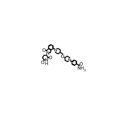 NC(=O)c1ccc(N2CCC(OCC3CCN(c4cccc5c4CN(C4CCC(=O)NC4=O)C5=O)CC3)CC2)cc1